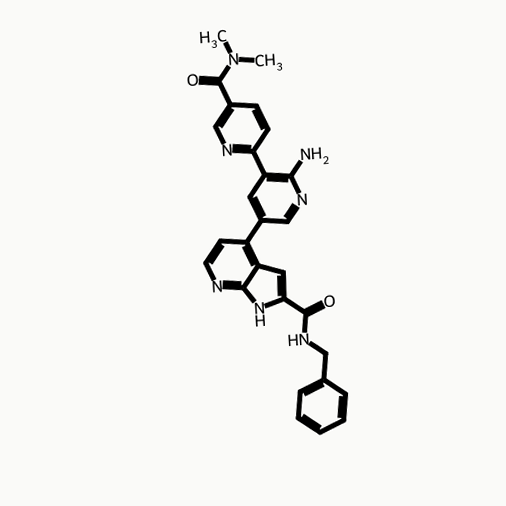 CN(C)C(=O)c1ccc(-c2cc(-c3ccnc4[nH]c(C(=O)NCc5ccccc5)cc34)cnc2N)nc1